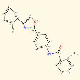 Cc1ccccc1C(=O)Nc1ccc(-c2nc(-c3ccccc3Cl)co2)cc1